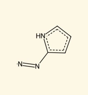 [N]=Nc1ccc[nH]1